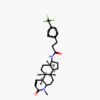 CN1C(=O)C=C[C@@]2(C)C1CC[C@@H]1[C@H]2CC[C@]2(C)C(NC(=O)CCc3ccc(C(F)(F)F)cc3)CC[C@@H]12